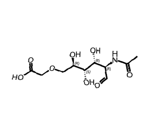 CC(=O)N[C@@H](C=O)[C@@H](O)[C@H](O)[C@H](O)COCC(=O)O